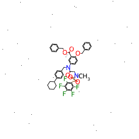 CN(CC(=O)N(Cc1ccc(C2CCCCC2)cc1)c1ccc(OCc2ccccc2)c(C(=O)OCc2ccccc2)c1)S(=O)(=O)c1c(F)c(F)c(F)c(F)c1F